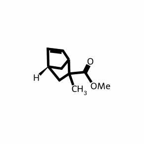 COC(=O)C1(C)C[C@@H]2C=CC1C2